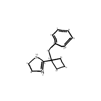 c1ccc(CC2(C3=NCCS3)CCC2)cc1